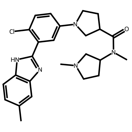 Cc1ccc2[nH]c(-c3cc(N4CCC(C(=O)N(C)C5CCN(C)C5)C4)ccc3Cl)nc2c1